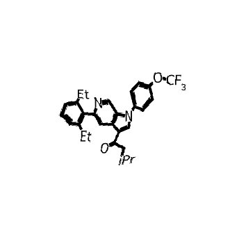 CCc1cccc(CC)c1-c1cc2c(C(=O)CC(C)C)cn(-c3ccc(OC(F)(F)F)cc3)c2cn1